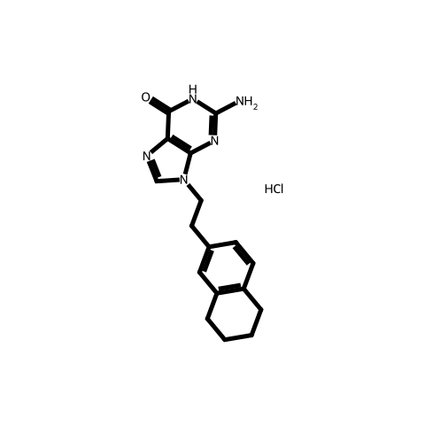 Cl.Nc1nc2c(ncn2CCc2ccc3c(c2)CCCC3)c(=O)[nH]1